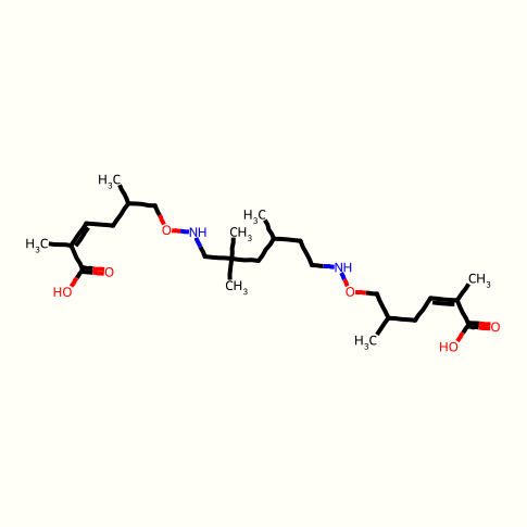 CC(=CCC(C)CONCCC(C)CC(C)(C)CNOCC(C)CC=C(C)C(=O)O)C(=O)O